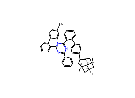 N#Cc1ccc(-c2ccccc2-c2nc(-c3ccccc3)nc(-c3ccccc3-c3ccc(C45C[C@H]6C[C@@H]7C[C@@H](C4)[C@@]76C5)cc3)n2)cc1